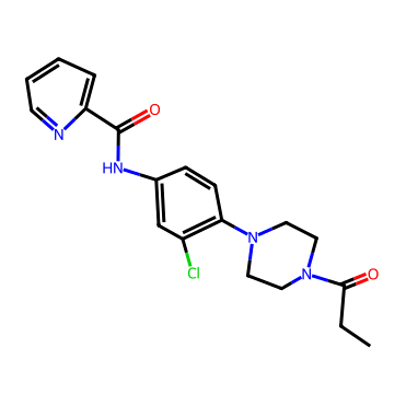 CCC(=O)N1CCN(c2ccc(NC(=O)c3ccccn3)cc2Cl)CC1